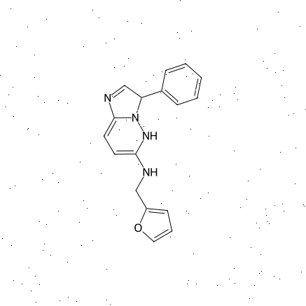 C1=NC2=CC=C(NCc3ccco3)NN2C1c1ccccc1